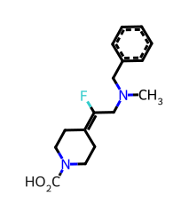 CN(CC(F)=C1CCN(C(=O)O)CC1)Cc1ccccc1